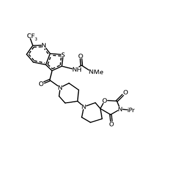 CNC(=O)Nc1sc2nc(C(F)(F)F)ccc2c1C(=O)N1CCC(N2CCCC3(C2)OC(=O)N(C(C)C)C3=O)CC1